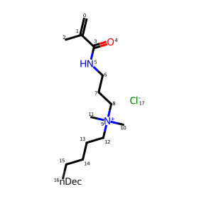 C=C(C)C(=O)NCCC[N+](C)(C)CCCCCCCCCCCCCC.[Cl-]